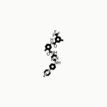 Cc1cc(C(=O)Nc2ccc(C)c(C(=O)Nc3cnc(Nc4ccc(N5CCN(C)CC5)cc4)nc3)c2)cc(C(F)(F)F)c1